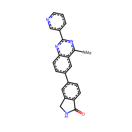 CNc1nc(-c2cccnc2)nc2ccc(-c3ccc4c(c3)CNC4=O)cc12